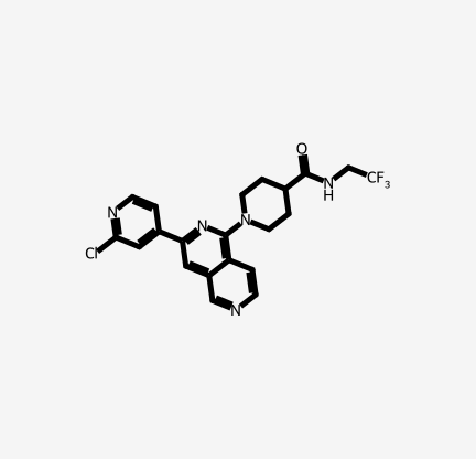 O=C(NCC(F)(F)F)C1CCN(c2nc(-c3ccnc(Cl)c3)cc3cnccc23)CC1